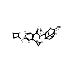 O=C(N[C@H]1C2CC3CC1C[C@@](O)(C3)C2)c1cnc(OC2CCC2)nc1C1CC1